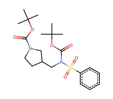 CC(C)(C)OC(=O)N1CCC(CN(C(=O)OC(C)(C)C)S(=O)(=O)c2ccccc2)C1